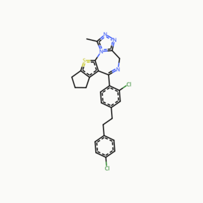 Cc1nnc2n1-c1sc3c(c1C(c1ccc(CCc4ccc(Cl)cc4)cc1Cl)=NC2)CCC3